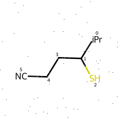 CC(C)C(S)CCC#N